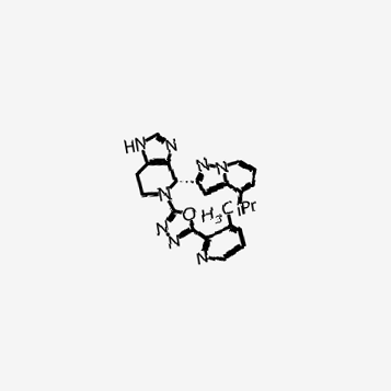 Cc1cccnc1-c1nnc(N2CCc3[nH]cnc3[C@@H]2c2cc3c(C(C)C)cccn3n2)o1